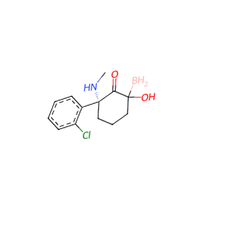 BC1(O)CCC[C@@](NC)(c2ccccc2Cl)C1=O